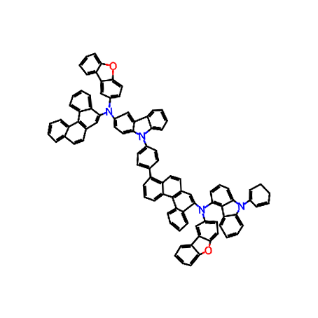 C1=CC(n2c3ccccc3c3c(N(c4ccc5oc6ccccc6c5c4)c4cc5ccc6c(-c7ccc(-n8c9ccccc9c9cc(N(c%10ccc%11oc%12ccccc%12c%11c%10)c%10cc%11ccc%12ccccc%12c%11c%11ccccc%10%11)ccc98)cc7)cccc6c5c5ccccc45)cccc32)=CCC1